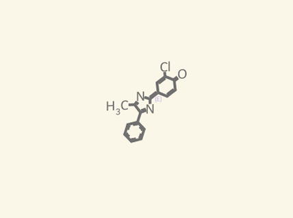 CC1=N/C(=C2/C=CC(=O)C(Cl)=C2)N=C1c1ccccc1